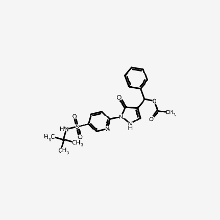 CC(=O)OC(c1ccccc1)c1c[nH]n(-c2ccc(S(=O)(=O)NC(C)(C)C)cn2)c1=O